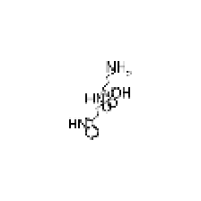 NCCCC[C@H](NC(=O)CCc1c[nH]c2ccccc12)C(=O)O